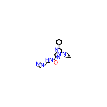 O=C(NCCCn1ccnc1)c1cc2nc(-c3ccccc3)cc(N3CC4CC4C3)n2n1